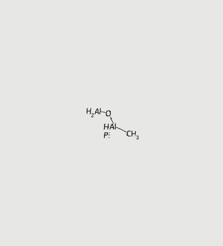 [CH3][AlH][O][AlH2].[P]